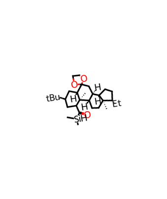 CC[C@H]1CC[C@H]2[C@@H]3CC4(OCCO4)[C@H]4CC(C(C)(C)C)CC(C(=O)[SiH](C)C)[C@]4(C)[C@H]3CC[C@]12C